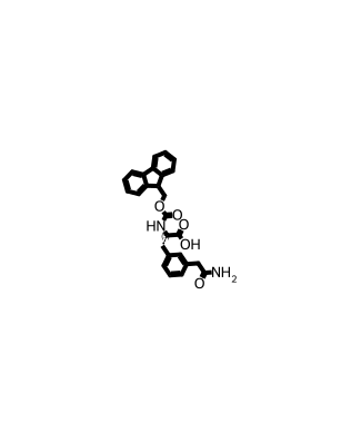 NC(=O)Cc1cccc(C[C@H](NC(=O)OCC2c3ccccc3-c3ccccc32)C(=O)O)c1